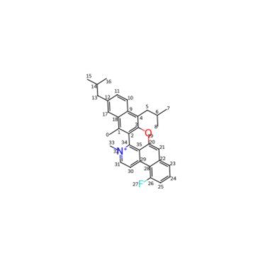 Cc1c2c(c(CC(C)C)c3ccc(CC(C)C)cc13)Oc1cc3cccc(F)c3c3cc[n+](C)c-2c13